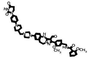 COc1ccccc1C(=O)NCc1ccc(-c2nn3c(c2C=O)Nc2ccc(N4CCN(CC5CCN(c6ccc(N7CCC(=O)NC7=O)cc6)CC5)CC4)cc2CC3)c(OC)c1